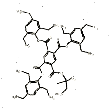 BCc1cc(CB)c(OC(=O)c2cc(C(=O)Oc3c(CB)cc(CB)cc3CB)c(C(=O)OC(C)(CS(=O)(=O)O)C(F)(F)F)cc2C(=O)Oc2c(CB)cc(CB)cc2CB)c(CB)c1